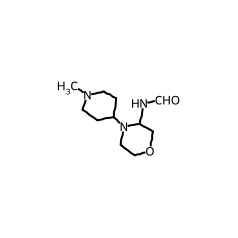 CN1CCC(N2CCOCC2NC=O)CC1